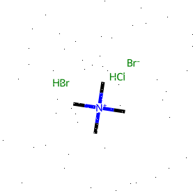 Br.C[N+](C)(C)C.Cl.[Br-]